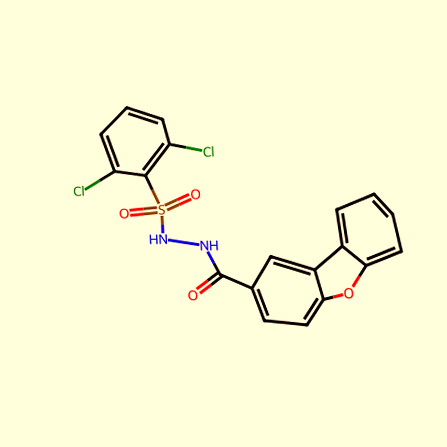 O=C(NNS(=O)(=O)c1c(Cl)cccc1Cl)c1ccc2oc3ccccc3c2c1